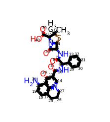 CC1(C)SC2C(NC(=O)C(NC(=O)c3cn4c5c(ccc(N)c5c3=O)CCC4)c3ccccc3)C(=O)N2C1C(=O)O